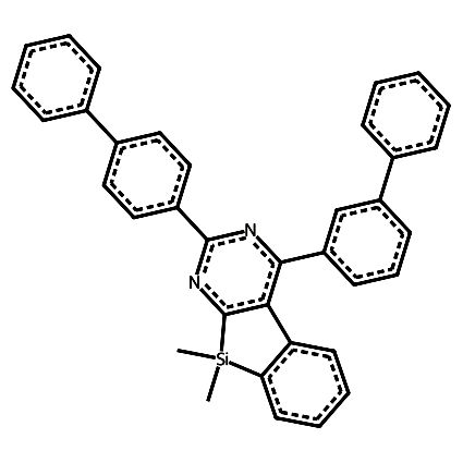 C[Si]1(C)c2ccccc2-c2c(-c3cccc(-c4ccccc4)c3)nc(-c3ccc(-c4ccccc4)cc3)nc21